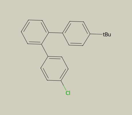 CC(C)(C)c1ccc(-c2ccccc2-c2ccc(Cl)cc2)cc1